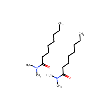 CCCCCCCC(=O)N(C)C.CCCCCCCC(=O)N(C)C